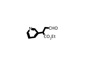 CCOC(=O)C(CC=O)c1cccnc1